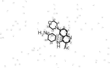 CC(=O)c1cnc2ccc(N3CCOCC3)cc2c1N[C@H]1CC[C@H](N)CC1